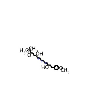 COc1ccc(CCC(O)/C=C/C=C/C=C/C(O)CCC(=O)N(C)C)cc1